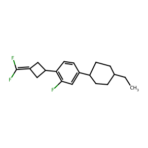 CCC1CCC(c2ccc(C3CC(=C(F)F)C3)c(F)c2)CC1